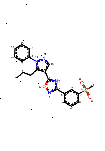 CCCc1c(-c2nc(-c3cccc(S(C)(=O)=O)c3)no2)cnn1-c1ccccc1